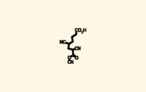 N#COC(=O)C(C#N)CC(C#N)CCCC(=O)O